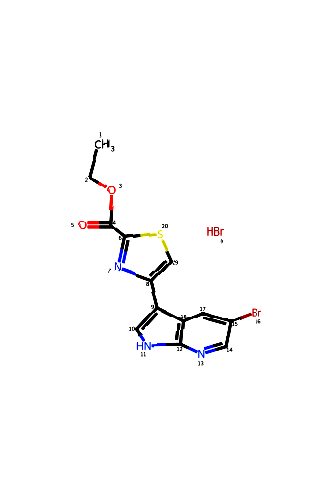 Br.CCOC(=O)c1nc(-c2c[nH]c3ncc(Br)cc23)cs1